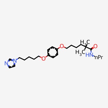 CCCNC(=O)C(C)(C)CCCCOc1ccc(OCCCCCn2ccnc2)cc1